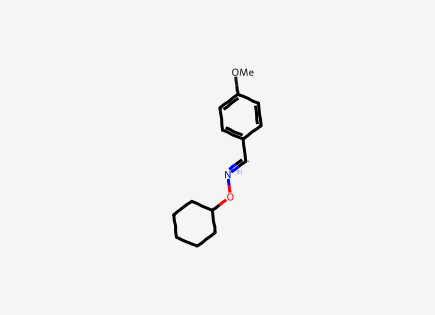 COc1ccc(/[C]=N/OC2CCCCC2)cc1